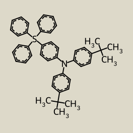 CC(C)(C)c1ccc(N(c2ccc(C(C)(C)C)cc2)c2ccc(S(c3ccccc3)(c3ccccc3)c3ccccc3)cc2)cc1